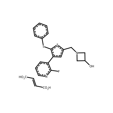 O=C(O)C=CC(=O)O.OC1CN(Cc2cc(-c3cccnc3F)c(Sc3ccccc3)s2)C1